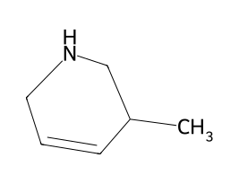 CC1C=CCNC1